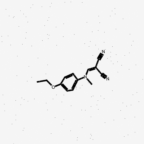 CCOc1ccc(N(C)C=C(C#N)C#N)cc1